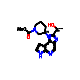 COC(=O)N1CCC[C@@H](n2c([C@@H](C)O)nc3cnc4[nH]ccc4c32)C1